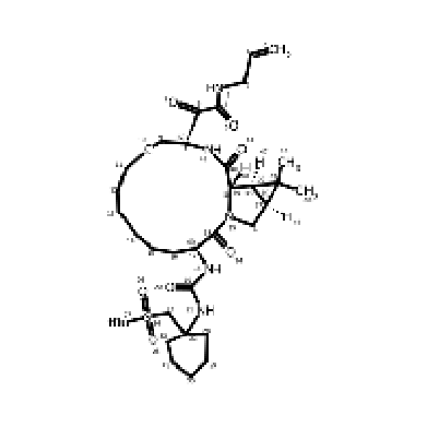 C=CCNC(=O)C(=O)[C@@H]1CCCCCCCC[C@H](NC(=O)NC2(CS(=O)(=O)C(C)(C)C)CCCCC2)C(=O)N2C[C@H]3[C@@H]([C@H]2C(=O)N1)C3(C)C